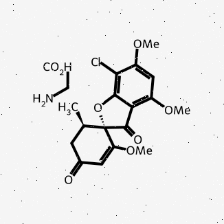 COC1=CC(=O)C[C@@H](C)[C@]12Oc1c(Cl)c(OC)cc(OC)c1C2=O.NCC(=O)O